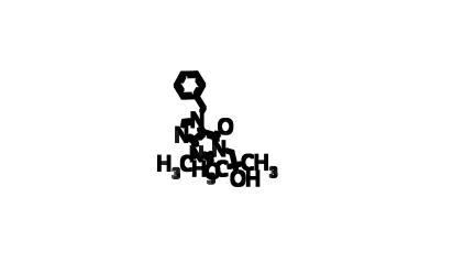 Cn1c(=O)n(CC(C)(C)O)c(=O)c2c1ncn2Cc1ccccc1